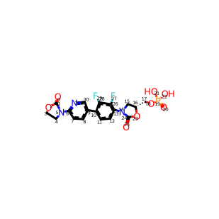 O=C1OCCN1c1ccc(-c2ccc(N3C[C@H](COP(=O)(O)O)OC3=O)c(F)c2F)cn1